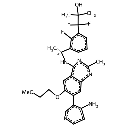 COCCOc1cc2c(N[C@H](C)c3cccc(C(F)(F)C(C)(C)O)c3F)nc(C)nc2cc1-c1cnccc1N